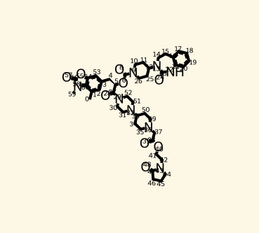 Cc1cc(C[C@@H](OC(=O)N2CCC(N3CCc4ccccc4NC3=O)CC2)C(=O)N2CCN(C3CCN(CC(=O)OCCN4CCCC4=O)CC3)CC2)cc2oc(=O)n(C)c12